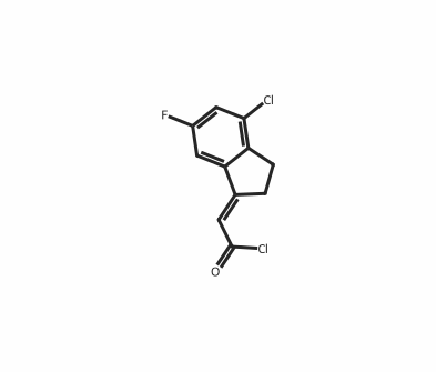 O=C(Cl)C=C1CCc2c(Cl)cc(F)cc21